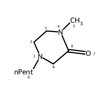 CCCCCN1CCN(C)C(=O)C1